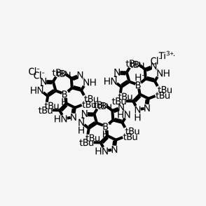 CC(C)(C)c1n[nH]c(C(C)(C)C)c1[BH-](c1c(C(C)(C)C)n[nH]c1C(C)(C)C)c1c(C(C)(C)C)n[nH]c1C(C)(C)C.CC(C)(C)c1n[nH]c(C(C)(C)C)c1[BH-](c1c(C(C)(C)C)n[nH]c1C(C)(C)C)c1c(C(C)(C)C)n[nH]c1C(C)(C)C.CC(C)(C)c1n[nH]c(C(C)(C)C)c1[BH-](c1c(C(C)(C)C)n[nH]c1C(C)(C)C)c1c(C(C)(C)C)n[nH]c1C(C)(C)C.[Cl-].[Cl-].[Cl-].[Ti+3]